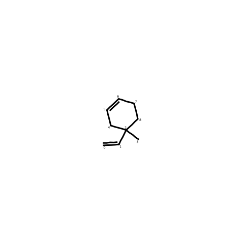 C=CC1(C)CC=CCC1